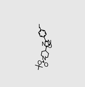 CC(C)(C)OC(=O)N1CCC(c2nc(-c3ccc(I)cc3)no2)CC1